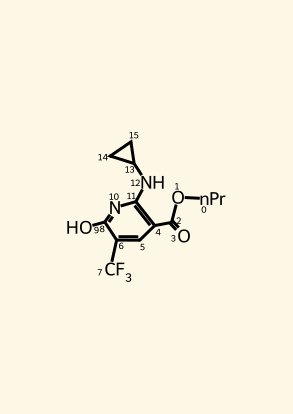 CCCOC(=O)c1cc(C(F)(F)F)c(O)nc1NC1CC1